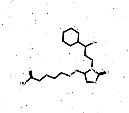 O=C(O)CCCCCCC1CSC(=O)N1CCC(O)C1CCCCC1